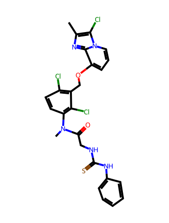 Cc1nc2c(OCc3c(Cl)ccc(N(C)C(=O)CNC(=S)Nc4ccccc4)c3Cl)cccn2c1Cl